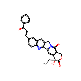 CC[C@@]1(O)C(=O)OCc2c1cc1n(c2=O)Cc2cc3cc(C=CC(=O)c4ccccc4)ccc3nc2-1